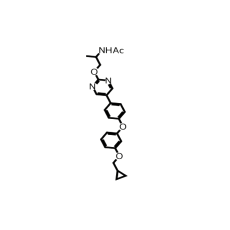 CC(=O)NC(C)COc1ncc(-c2ccc(Oc3cccc(OCC4CC4)c3)cc2)cn1